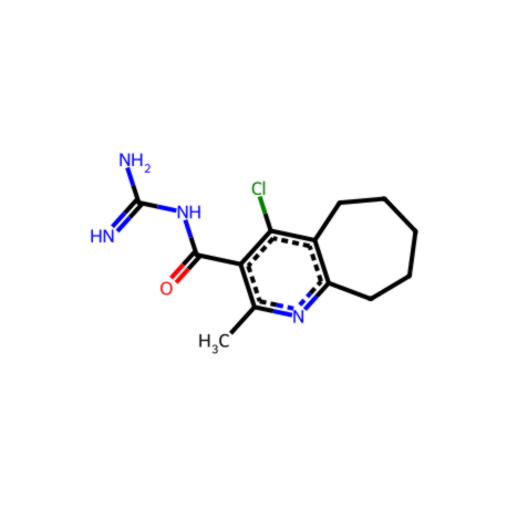 Cc1nc2c(c(Cl)c1C(=O)NC(=N)N)CCCCC2